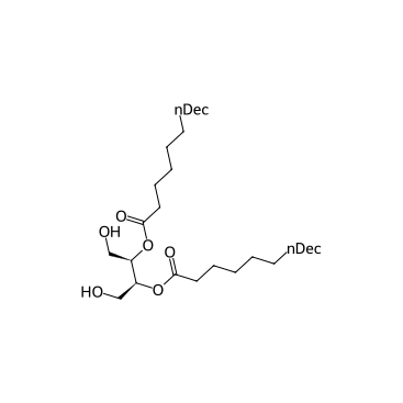 CCCCCCCCCCCCCCCC(=O)O[C@@H](CO)[C@@H](CO)OC(=O)CCCCCCCCCCCCCCC